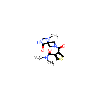 CN(C)C(=O)c1cscc1C(=O)N1CC2(C1)C(=O)NCN2C